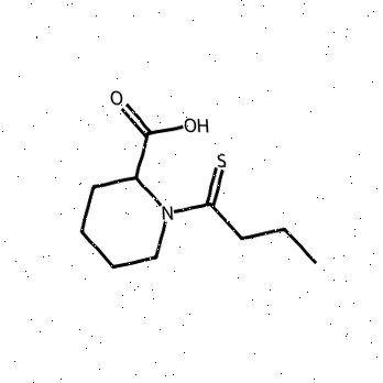 CCCC(=S)N1CCCCC1C(=O)O